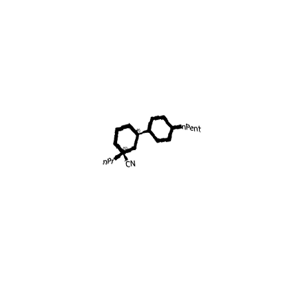 CCCCCC1CCC([C@@H]2CCC[C@@](C#N)(CCC)C2)CC1